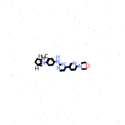 Cc1cc(Nc2nccc(-c3ccc(N4CCOCC4)nc3)n2)ccc1N1C[C@@H]2CC[C@H]1C2